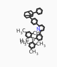 Cc1cc(C)c(B(c2cccc(-c3cccc(-c4ccc(C56CC7CC(CC(c8ccccc8)(C7)C5)C6)cc4)n3)c2)c2c(C)cc(C)cc2C)c(C)c1